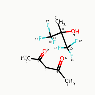 CC(=O)CC(C)=O.CC(O)(C(F)(F)F)C(F)(F)F